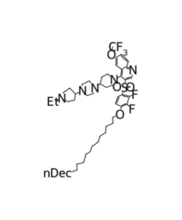 CCCCCCCCCCCCCCCCCCCCCCOc1ccc(S(=O)(=O)c2cnc3ccc(OC(F)(F)F)cc3c2N2CCC(N3CCN(C4CCN(CC)CC4)CC3)CC2)c(F)c1F